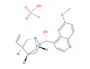 C=C[C@H]1C[N@]2CC[C@H]1C[C@H]2[C@H](O)c1ccnc2ccc(OC)cc12.O=S(=O)(O)I